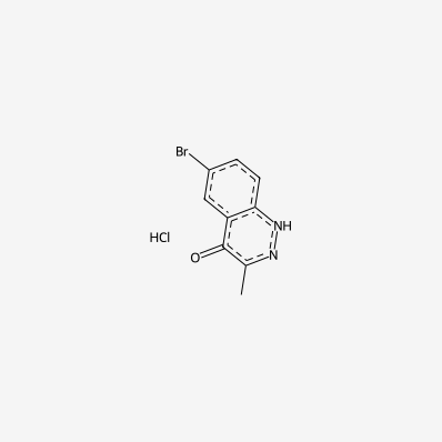 Cc1n[nH]c2ccc(Br)cc2c1=O.Cl